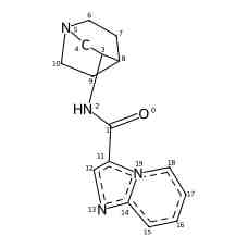 O=C(NC1CN2CCC1CC2)c1cnc2ccccn12